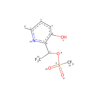 Cc1ccc(O)c(C(OS(=O)(=O)C(F)(F)F)C(F)(F)F)n1